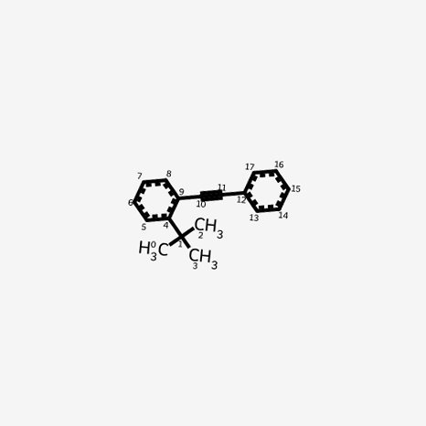 CC(C)(C)c1ccccc1C#Cc1ccccc1